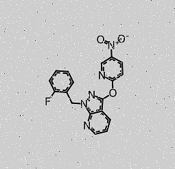 O=[N+]([O-])c1ccc(Oc2nn(Cc3ccccc3F)c3ncccc23)nc1